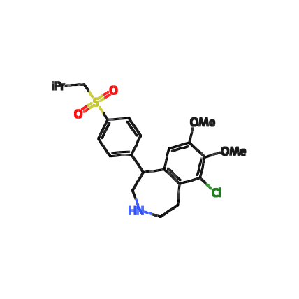 COc1cc2c(c(Cl)c1OC)CCNCC2c1ccc(S(=O)(=O)CC(C)C)cc1